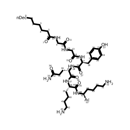 CCCCCCCCCCCCCCCC(=O)NCC(=O)NCC(=O)N[C@@H](Cc1ccc(O)cc1)C(=O)N[C@@H](CCC(N)=O)C(=O)N[C@@H](CCCCN)C(=O)N[C@@H](CCCCN)C(C)=O